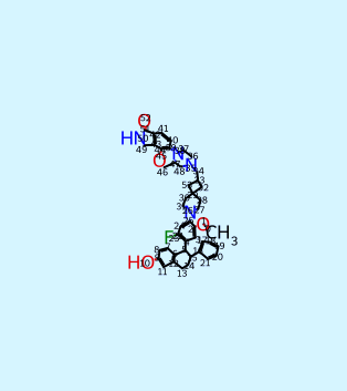 COc1cc(C2c3ccc(O)cc3CCC2c2ccccc2)c(F)cc1N1CCC2(CC1)CC(CN1CCN3c4ccc5c(c4OCC3C1)CNC5=O)C2